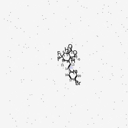 C[C@H]1OC(=O)[C@@H]2CC(F)(F)[C@@H](C)[C@H](/C=C/c3ccc(Br)cn3)[C@H]12